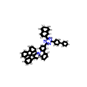 C1=C2C(=CN3B1c1ccccc1-c1cc(-c4nc(-c5ccc(-c6ccccc6)cc5)nc(-c5ccc6ccccc6c5)n4)ccc13)C1(c3ccccc32)c2ccccc2-c2ccccc21